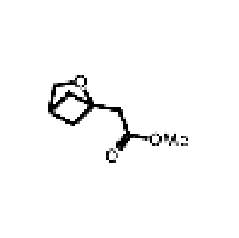 COC(=O)CC12CC(CO1)C2